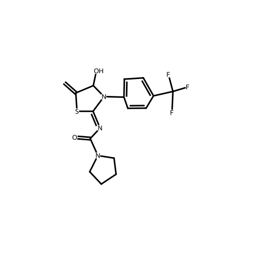 C=C1SC(=NC(=O)N2CCCC2)N(c2ccc(C(F)(F)F)cc2)C1O